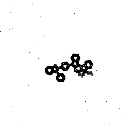 C[Si]1(C)c2ccccc2-c2c1ccc1c2c2ccccc2n1-c1ccc(-c2nc3ccccc3n2-c2ccccc2)cc1